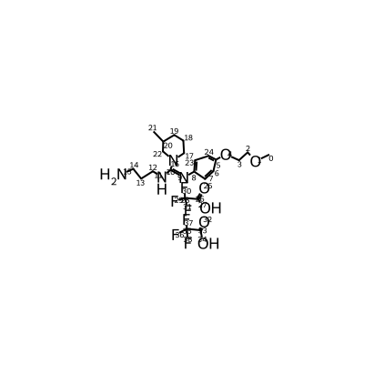 COCCOc1ccc(/N=C(/NCCCN)N2CCCC(C)C2)cc1.O=C(O)C(F)(F)F.O=C(O)C(F)(F)F